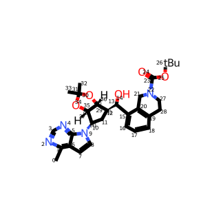 Cc1ncnc2c1ccn2[C@@H]1C[C@H](C(O)c2cccc3c2CN(C(=O)OC(C)(C)C)CC3)[C@H]2OC(C)(C)O[C@H]21